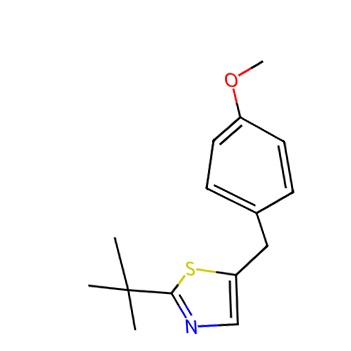 COc1ccc(Cc2cnc(C(C)(C)C)s2)cc1